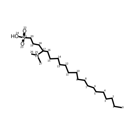 CCCCCCCCCCCCCCCCCC(CCCS(=O)(=O)O)N(C)C